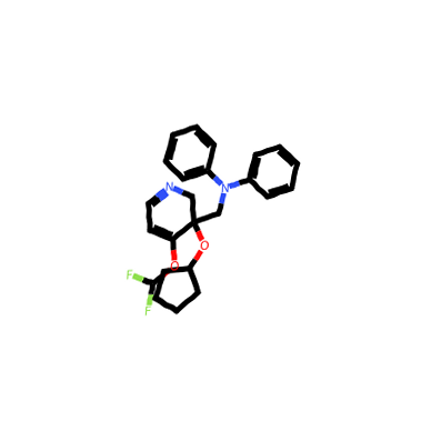 FC(F)OC1=CC=NCC1(CN(c1ccccc1)c1ccccc1)OC1CCCC1